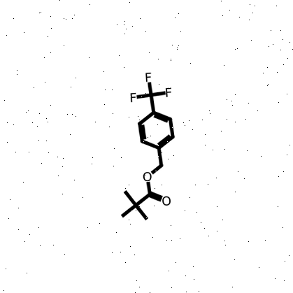 CC(C)(C)C(=O)OCc1ccc(C(F)(F)F)cc1